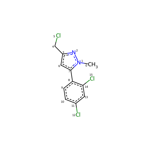 Cn1nc(CCl)cc1-c1ccc(Cl)cc1Cl